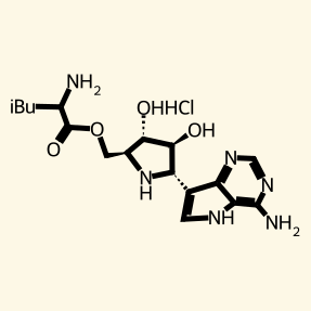 CCC(C)C(N)C(=O)OC[C@@H]1N[C@@H](c2c[nH]c3c(N)ncnc23)[C@H](O)[C@H]1O.Cl